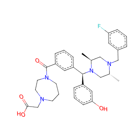 C[C@@H]1CN([C@@H](c2cccc(O)c2)c2cccc(C(=O)N3CCCN(CC(=O)O)CC3)c2)[C@@H](C)CN1Cc1cccc(F)c1